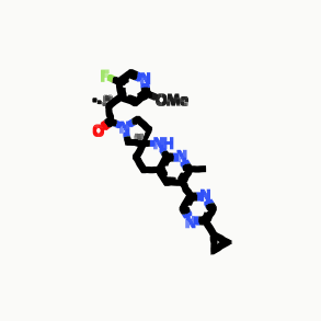 COc1cc([C@@H](C)C(=O)N2CC[C@@]3(CCc4cc(-c5cnc(C6CC6)cn5)c(C)nc4N3)C2)c(F)cn1